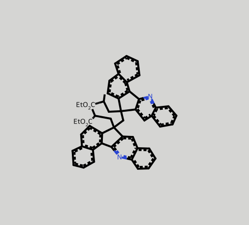 CCOC(=O)C(C)CC1(CC2(CC(C)C(=O)OCC)c3cc4ccccc4nc3-c3c2ccc2ccccc32)c2cc3ccccc3nc2-c2c1ccc1ccccc21